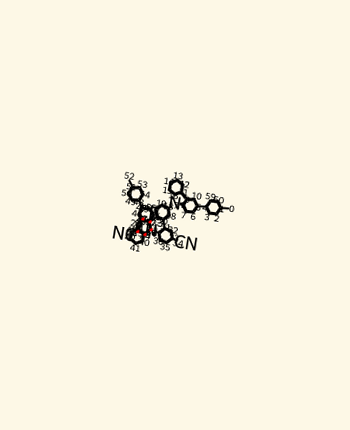 Cc1ccc(-c2ccc3c(c2)c2ccccc2n3-c2ccc(-c3ccc(C#N)cc3C(F)(F)F)c(-c3cc(C#N)ccc3-n3c4ccccc4c4cc(-c5ccc(C)cc5)ccc43)c2)cc1